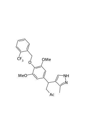 COc1cc(C(CC(C)=O)c2c[nH]nc2C)cc(OC)c1OCc1ccccc1C(F)(F)F